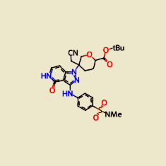 CNS(=O)(=O)c1ccc(Nc2nn(C3(CC#N)CCC(C(=O)OC(C)(C)C)OC3)c3cc[nH]c(=O)c23)cc1